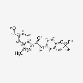 Cn1nc(C(=O)Nc2ccc(OC(F)(F)F)cc2)c2ccc(C=O)cc21